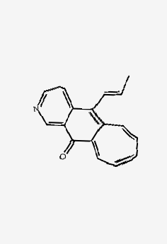 CC=Cc1c2cccccc-2c(=O)c2cnccc12